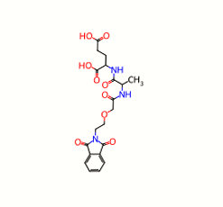 CC(NC(=O)COCCN1C(=O)c2ccccc2C1=O)C(=O)NC(CCC(=O)O)C(=O)O